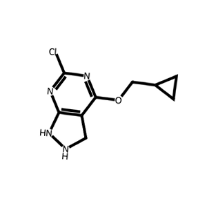 Clc1nc2c(c(OCC3CC3)n1)CNN2